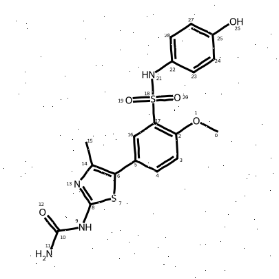 COc1ccc(-c2sc(NC(N)=O)nc2C)cc1S(=O)(=O)Nc1ccc(O)cc1